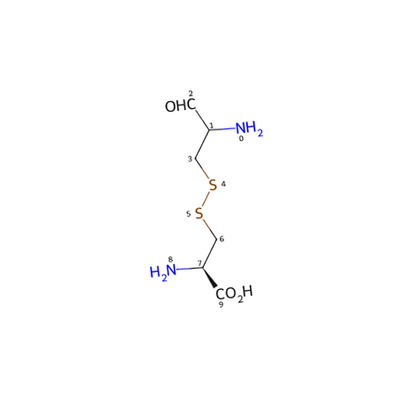 NC(C=O)CSSC[C@H](N)C(=O)O